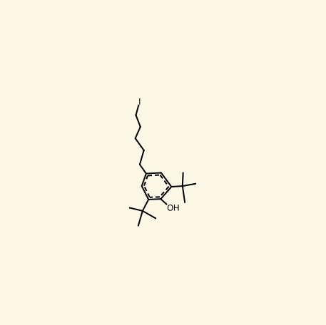 CC(C)(C)c1cc(CCCCCI)cc(C(C)(C)C)c1O